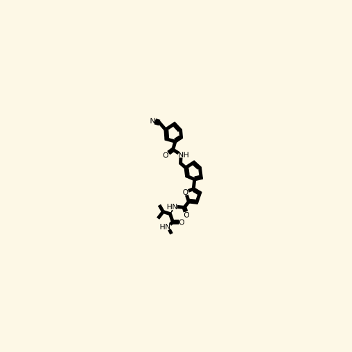 CNC(=O)[C@@H](NC(=O)c1ccc(-c2cccc(CNC(=O)c3cccc(C#N)c3)c2)o1)C(C)C